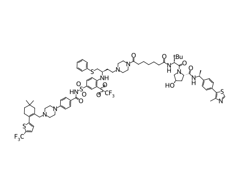 Cc1ncsc1-c1ccc([C@H](C)NC(=O)[C@@H]2C[C@@H](O)CN2C(=O)[C@@H](NC(=O)CCCCCC(=O)N2CCN(CC[C@H](CSc3ccccc3)Nc3ccc(S(=O)(=O)NC(=O)c4ccc(N5CCN(CC6=C(c7ccc(C(F)(F)F)s7)CCC(C)(C)C6)CC5)cc4)cc3S(=O)(=O)C(F)(F)F)CC2)C(C)(C)C)cc1